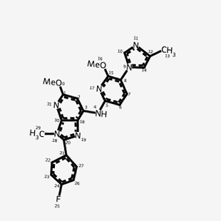 COc1cc(Nc2ccc(-n3cnc(C)c3)c(OC)n2)c2nc(-c3ccc(F)cc3)n(C)c2n1